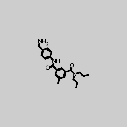 CCCN(CCC)C(=O)c1cc(C)cc(C(=O)Nc2ccc(CN)cc2)c1